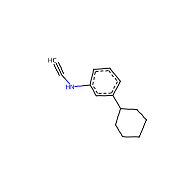 C#CNc1cccc(C2CCCCC2)c1